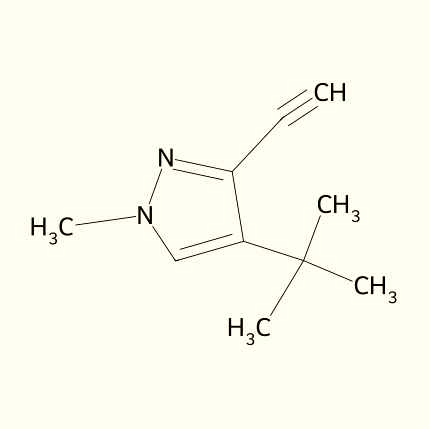 C#Cc1nn(C)cc1C(C)(C)C